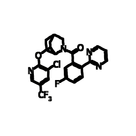 O=C(c1cc(F)ccc1-c1ncccn1)N1CC2CCC1C(Oc1ncc(C(F)(F)F)cc1Cl)C2